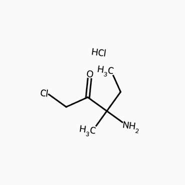 CCC(C)(N)C(=O)CCl.Cl